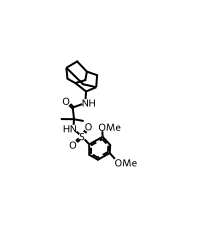 COc1ccc(S(=O)(=O)NC(C)(C)C(=O)NC2C3CC4CC(C3)CC2C4)c(OC)c1